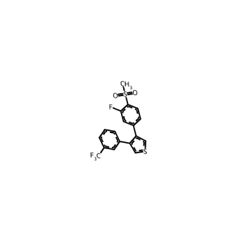 CS(=O)(=O)c1ccc(-c2cscc2-c2cccc(C(F)(F)F)c2)cc1F